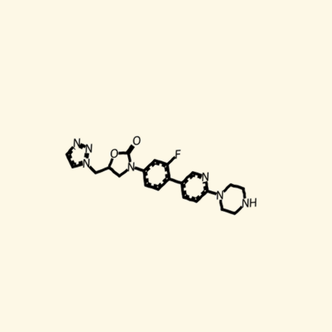 O=C1OC(Cn2ccnn2)CN1c1ccc(-c2ccc(N3CCNCC3)nc2)c(F)c1